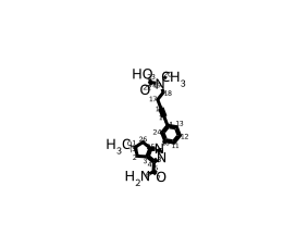 C[C@H]1Cc2c(C(N)=O)nn(-c3cccc(C#CCCN(C)C(=O)O)c3)c2C1